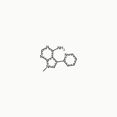 Cn1cc(-c2ccccn2)c2c(N)ncnc21